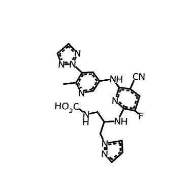 Cc1ncc(Nc2nc(NC(CNC(=O)O)Cn3cccn3)c(F)cc2C#N)cc1-n1nccn1